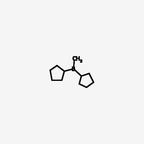 CB(C1CCCC1)C1CCCC1